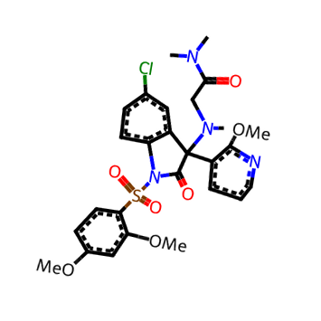 COc1ccc(S(=O)(=O)N2C(=O)C(c3cccnc3OC)(N(C)CC(=O)N(C)C)c3cc(Cl)ccc32)c(OC)c1